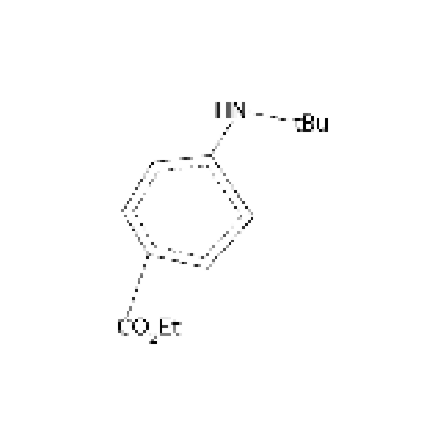 CCOC(=O)c1ccc(NC(C)(C)C)cc1